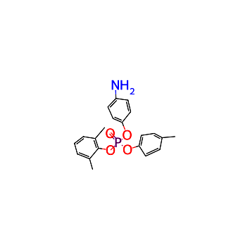 Cc1ccc(OP(=O)(Oc2ccc(N)cc2)Oc2c(C)cccc2C)cc1